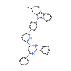 CC1C=Cc2c(n(-c3ccc(-c4cccc(C5C=C(c6ccccc6)N=C(c6ccccc6)N5)n4)cc3)c3ccccc23)C1